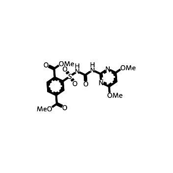 COC(=O)c1ccc(C(=O)OC)c(S(=O)(=O)NC(=O)Nc2nc(OC)cc(OC)n2)c1